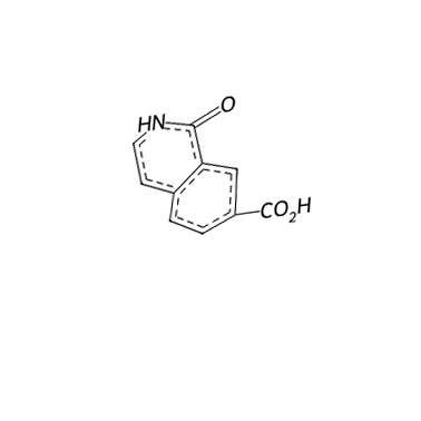 O=C(O)c1ccc2cc[nH]c(=O)c2c1